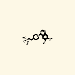 COc1cc2ncnc(N3CCC(CCP(=O)(OC)OC)CC3)c2cc1OC